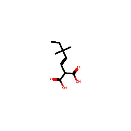 CCC(C)(C)C=CC(C(=O)O)C(=O)O